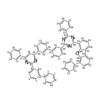 c1ccc(-c2cccc(-c3nc(-c4ccccc4)cc(-c4cccc(-c5cccc(-c6nc(-c7ccccc7)nc(-c7cccc8c7oc7c(-c9ccccc9)cccc78)n6)c5)c4)n3)c2)cc1